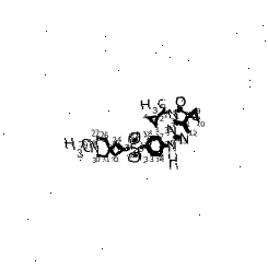 CC(C1CC1)N1C(=O)C2(CC2)c2cnc(Nc3ccc(S(=O)(=O)C4CC5(CCN(C)CC5)C4)cc3)nc21